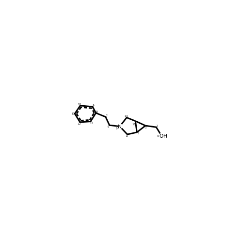 OCC1C2CN(CCc3ccccc3)CC12